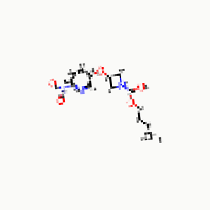 CCCCOC(=O)N1CC(Oc2ccc([N+](=O)[O-])nc2)C1